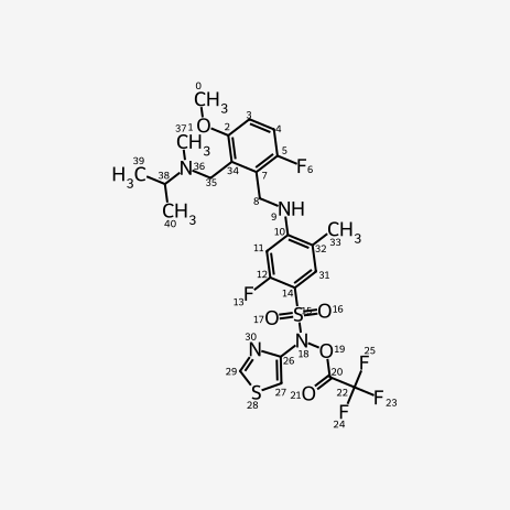 COc1ccc(F)c(CNc2cc(F)c(S(=O)(=O)N(OC(=O)C(F)(F)F)c3cscn3)cc2C)c1CN(C)C(C)C